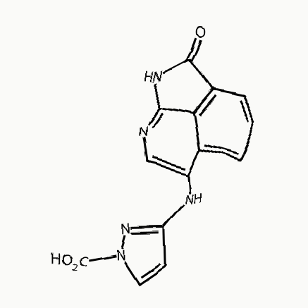 O=C1Nc2ncc(Nc3ccn(C(=O)O)n3)c3cccc1c23